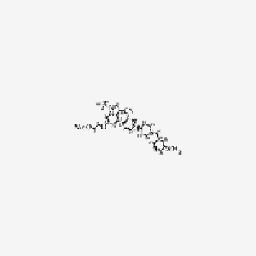 COCCOC1=CN2C(=C(C#N)CN2C)C(c2ccc(N3CCN(Cc4cncc(C)c4)CC3)nc2)=C1